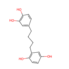 Oc1ccc(O)c(CCCCc2ccc(O)c(O)c2)c1